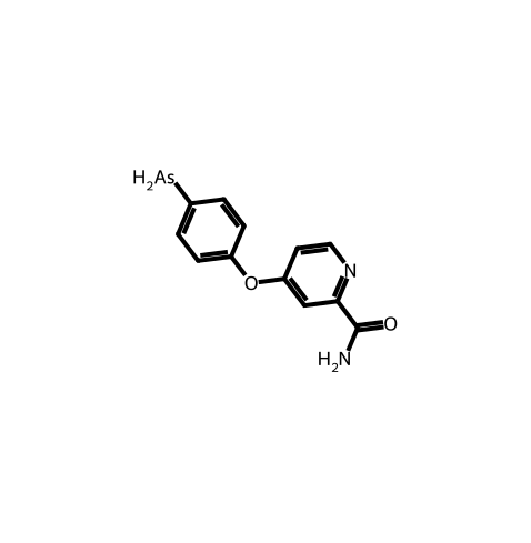 NC(=O)c1cc(Oc2ccc([AsH2])cc2)ccn1